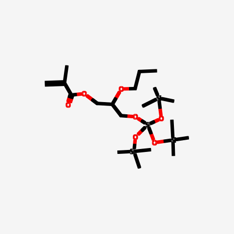 C=C(C)C(=O)OCC(CO[Si](O[Si](C)(C)C)(O[Si](C)(C)C)O[Si](C)(C)C)OCCC